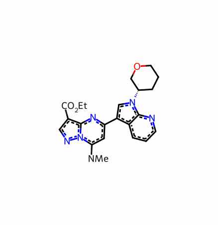 CCOC(=O)c1cnn2c(NC)cc(-c3cn([C@H]4CCCOC4)c4ncccc34)nc12